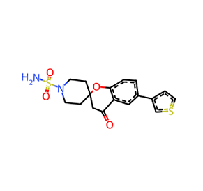 NS(=O)(=O)N1CCC2(CC1)CC(=O)c1cc(-c3ccsc3)ccc1O2